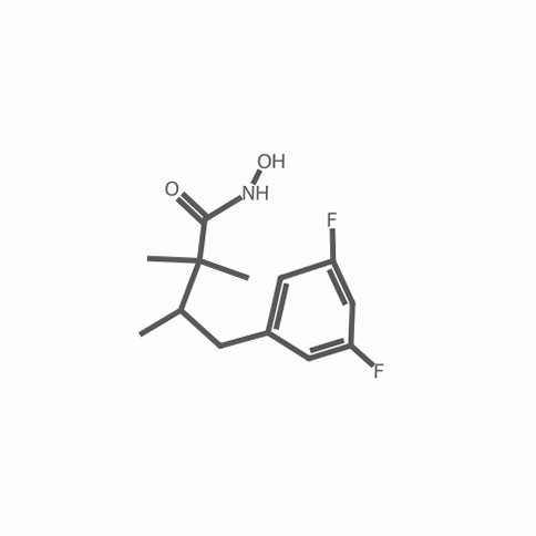 CC(Cc1cc(F)cc(F)c1)C(C)(C)C(=O)NO